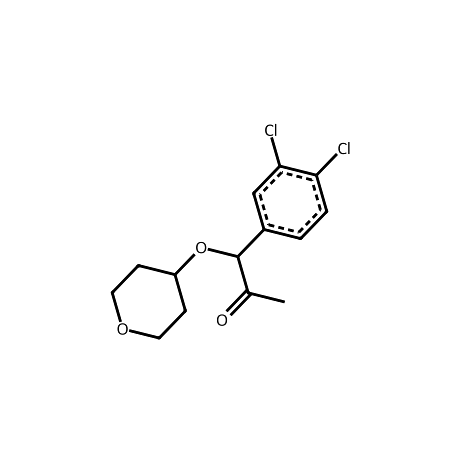 CC(=O)C(OC1CCOCC1)c1ccc(Cl)c(Cl)c1